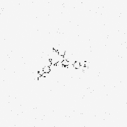 CO/N=C/[C@@H](F)[C@H](OC(=O)c1ccc(C(F)(F)F)cc1)[C@@H](Br)COC(=O)c1ccc(C(F)(F)F)cc1